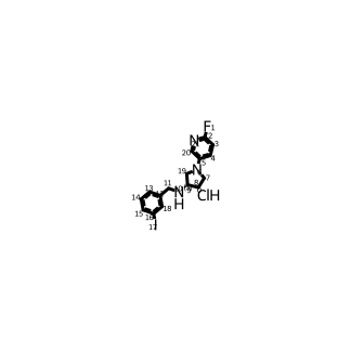 Cl.Fc1ccc(N2CC[C@H](NCc3cccc(I)c3)C2)cn1